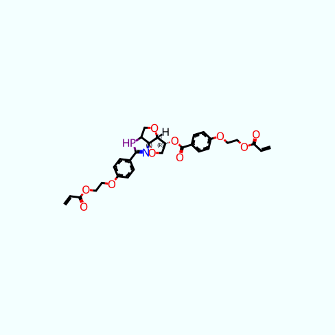 C=CC(=O)OCCOc1ccc(C(=O)O[C@@H]2CO[C@]34N=C(c5ccc(OCCOC(=O)C=C)cc5)PC3CO[C@H]24)cc1